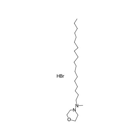 Br.CCCCCCCCCCCCCCCCCCN(C)N1CCOCC1